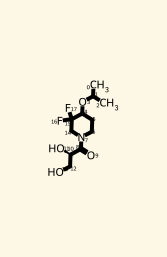 CC(C)OC1CCN(C(=O)[C@H](O)CO)CC1(F)F